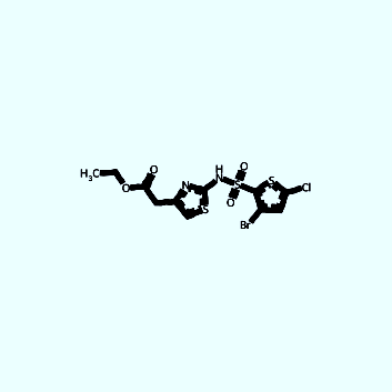 CCOC(=O)Cc1csc(NS(=O)(=O)c2sc(Cl)cc2Br)n1